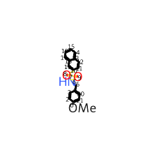 COc1ccc(CNS(=O)(=O)c2ccc3ccccc3c2)cc1